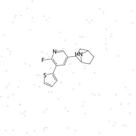 Fc1ncc(C2CC3CCC2N3)cc1-c1cccs1